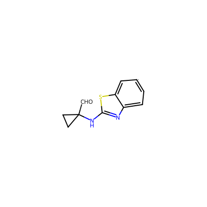 O=CC1(Nc2nc3cc[c]cc3s2)CC1